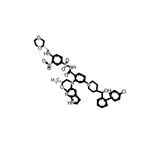 C[C@@H]1CN(c2cc(N3CCC([C@@H](O)c4ccccc4-c4ccc(Cl)cc4)CC3)ccc2C(=O)NS(=O)(=O)c2ccc(NC[C@H]3COCCO3)c([N+](=O)[O-])c2)c2cc3cc[nH]c3nc2O1